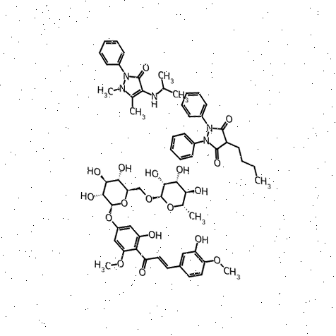 CCCCC1C(=O)N(c2ccccc2)N(c2ccccc2)C1=O.COc1ccc(/C=C/C(=O)c2c(O)cc(O[C@@H]3O[C@H](CO[C@@H]4O[C@@H](C)[C@H](O)[C@@H](O)[C@H]4O)[C@@H](O)[C@H](O)[C@H]3O)cc2OC)cc1O.Cc1c(NC(C)C)c(=O)n(-c2ccccc2)n1C